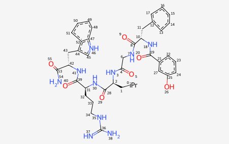 CC(C)C[C@H](NC(=O)CNC(=O)[C@H](Cc1ccccc1)NC(=O)c1cccc(O)c1)C(=O)N[C@@H](CCCNC(=N)N)C(=O)N[C@@H](Cc1c[nH]c2ccccc12)C(N)=O